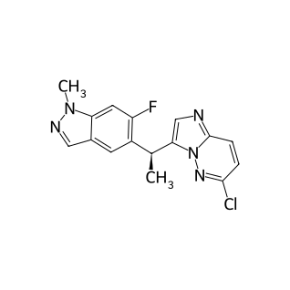 C[C@@H](c1cc2cnn(C)c2cc1F)c1cnc2ccc(Cl)nn12